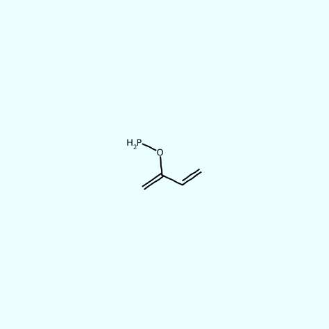 C=CC(=C)OP